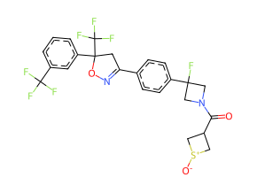 O=C(C1C[S+]([O-])C1)N1CC(F)(c2ccc(C3=NOC(c4cccc(C(F)(F)F)c4)(C(F)(F)F)C3)cc2)C1